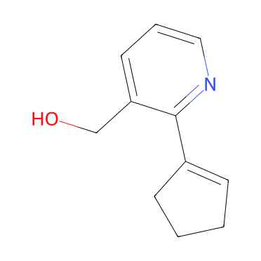 OCc1cccnc1C1=CCCC1